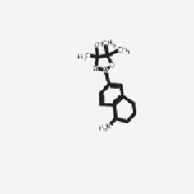 CC1(C)OB(c2ccc3c(c2)CCCC3N)OC1(C)C